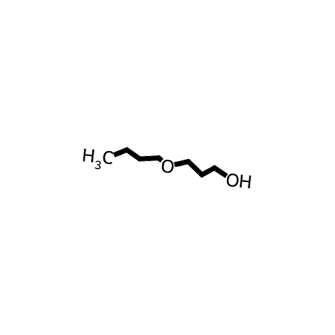 CCCCOCCCO